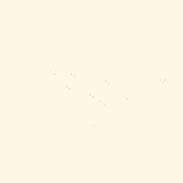 COCCN(C)c1nc(Cn2nc(-c3ccc(Cl)cc3)n(CC(O)C(F)(F)F)c2=O)nn1-c1ccccc1Cl